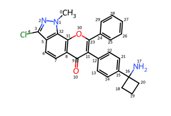 Cn1nc(Cl)c2ccc3c(=O)c(-c4ccc(C5(N)CCC5)cc4)c(-c4ccccc4)oc3c21